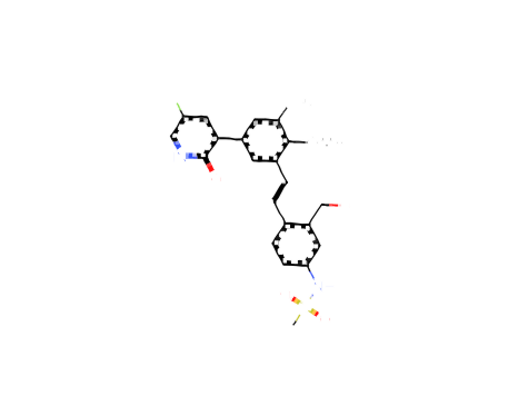 COc1c(C=Cc2ccc(NS(C)(=O)=O)cc2CO)cc(-c2cc(F)c[nH]c2=O)cc1C(C)(C)C